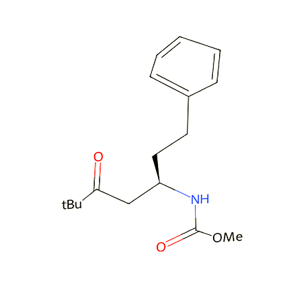 COC(=O)N[C@H](CCc1ccccc1)CC(=O)C(C)(C)C